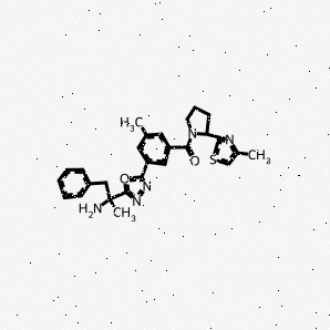 Cc1cc(C(=O)N2CCCC2c2nc(C)cs2)cc(-c2nnc(C(C)(N)Cc3ccccc3)o2)c1